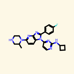 CC1CNCCN1c1ccc2c(n1)nc(-c1ccc(F)cc1)n2-c1ccnc(NC2CCC2)n1